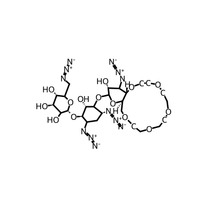 [N-]=[N+]=NCC1O[C@H](O[C@@H]2C(N=[N+]=[N-])C[C@@H](N=[N+]=[N-])C(OC3O[C@@H]4COCCOCCOCCOCCO[C@H]4C(N=[N+]=[N-])[C@H]3O)[C@H]2O)C(O)[C@@H](O)[C@@H]1O